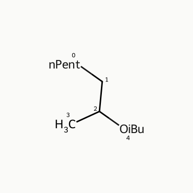 CCCCCCC(C)OCC(C)C